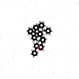 c1ccc(-c2ccc(N(c3ccc4c(c3)C3(c5ccccc5-4)c4ccccc4-c4c(N(c5ccccc5)c5ccccc5)cccc43)c3ccccc3-c3ccccc3)cc2)cc1